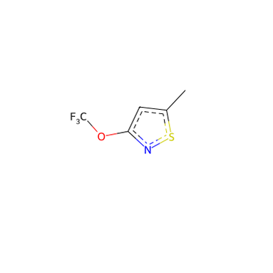 Cc1cc(OC(F)(F)F)ns1